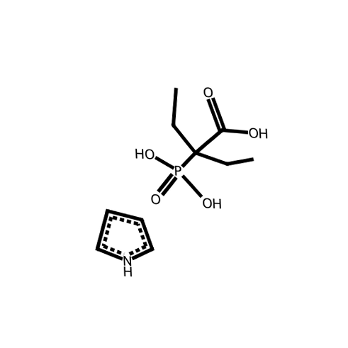 CCC(CC)(C(=O)O)P(=O)(O)O.c1cc[nH]c1